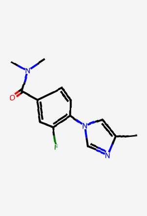 Cc1cn(-c2ccc(C(=O)N(C)C)cc2F)cn1